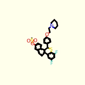 CS(=O)(=O)Oc1ccc2c3c(ccc2c1)-c1cc(F)cc(F)c1SC3c1ccc(OCCN2CCCCC2)cc1